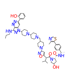 CCCNc1nn(C2CCN(C3CCN(CC4CCN(c5cc(C(C(=O)N6C[C@H](O)C[C@H]6C(=O)N[C@@H](C)c6ccc(-c7scnc7C)cc6)C(C)C)on5)CC4)CC3)CC2)c2cc(-c3ccccc3O)nnc12